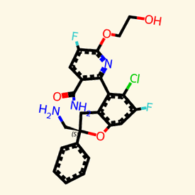 NC[C@@]1(c2ccccc2)Cc2c(cc(F)c(Cl)c2-c2nc(OCCO)c(F)cc2C(N)=O)O1